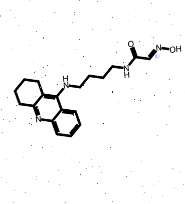 O=C(/C=N/O)NCCCCNc1c2c(nc3ccccc13)CCCC2